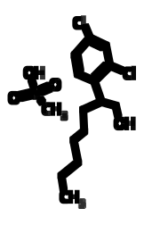 CCCCCCC(CO)c1ccc(Cl)cc1Cl.CS(=O)(=O)O